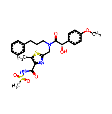 COc1ccc([C@@H](O)C(=O)N(CCCc2ccccc2)Cc2nc(C(=O)NS(C)(=O)=O)c(C)s2)cc1